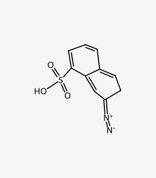 [N-]=[N+]=C1C=c2c(S(=O)(=O)O)cccc2=CC1